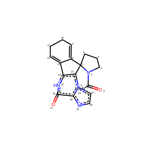 CNC(=O)N1CCCC12C1=CCCC=C1c1[nH]c(=O)c3nccn3c12